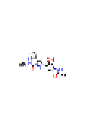 CCCNC(=O)n1nc(-c2ccc(NC(=O)C3CC3)cc2O)cc1C1CCCC1